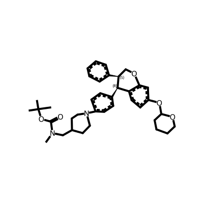 CN(CC1CCN(c2ccc([C@@H]3c4ccc(OC5CCCCO5)cc4OC[C@@H]3c3ccccc3)cc2)CC1)C(=O)OC(C)(C)C